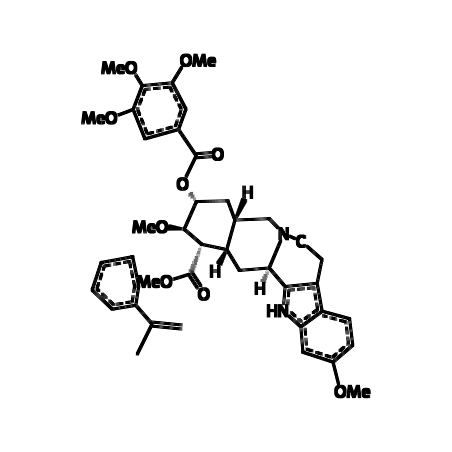 C=C(C)c1ccccc1.COC(=O)[C@H]1[C@H]2C[C@@H]3c4[nH]c5cc(OC)ccc5c4CCN3C[C@H]2C[C@@H](OC(=O)c2cc(OC)c(OC)c(OC)c2)[C@@H]1OC